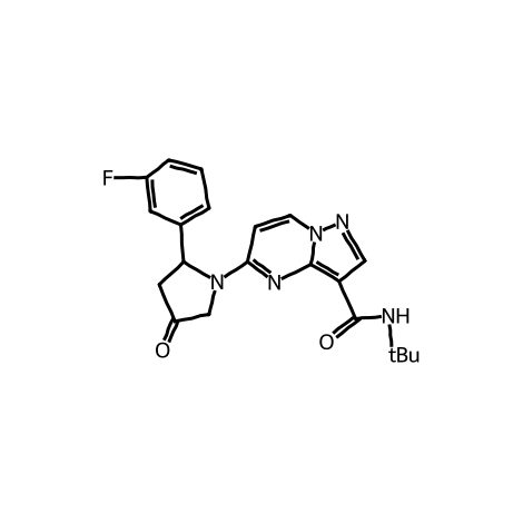 CC(C)(C)NC(=O)c1cnn2ccc(N3CC(=O)CC3c3cccc(F)c3)nc12